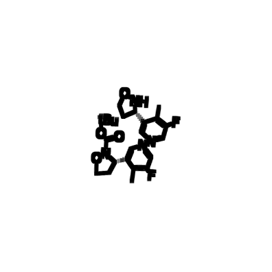 Cc1c(F)cncc1[C@@H]1CCON1.Cc1c(F)cncc1[C@@H]1CCON1C(=O)OC(C)(C)C